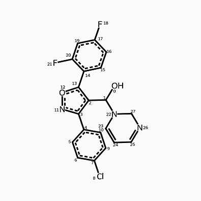 OC(c1c(-c2ccc(Cl)cc2)noc1-c1ccc(F)cc1F)N1C=CC=NC1